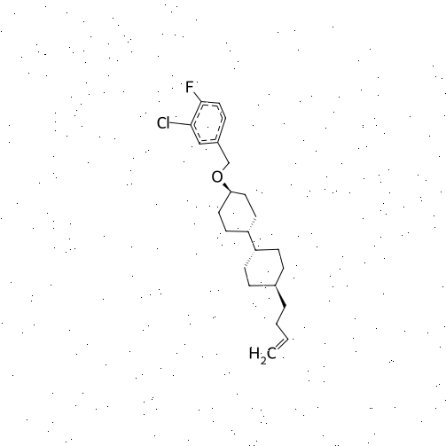 C=CCC[C@H]1CC[C@H]([C@H]2CC[C@H](OCc3ccc(F)c(Cl)c3)CC2)CC1